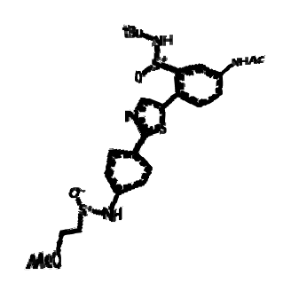 COCC[S+]([O-])Nc1ccc(-c2ncc(-c3ccc(NC(C)=O)cc3[S+]([O-])NC(C)(C)C)s2)cc1